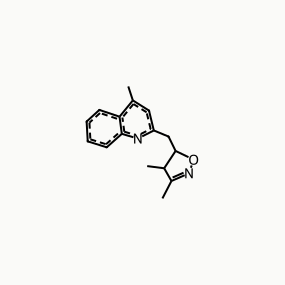 CC1=NOC(Cc2cc(C)c3ccccc3n2)C1C